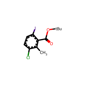 Cc1c(Cl)ccc(I)c1C(=O)OC(C)(C)C